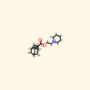 O=C(OCCN1CCCCC1)C12CC3CC(CC1C3)C2